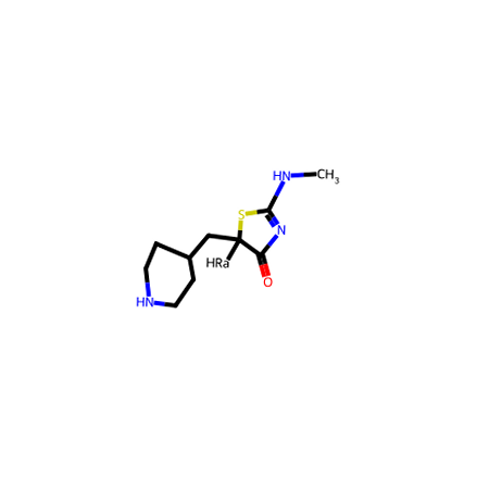 CNC1=NC(=O)[C]([RaH])(CC2CCNCC2)S1